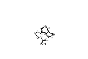 O=C(O)C1CCCO1.c1ncc2[nH]cnc2n1